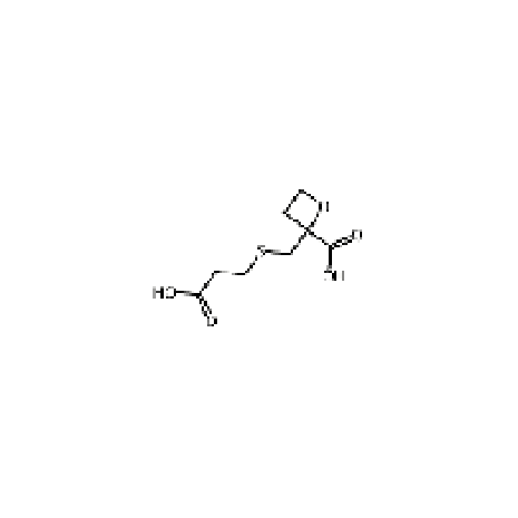 O=C(O)CCSCC1(C(=O)O)CCO1